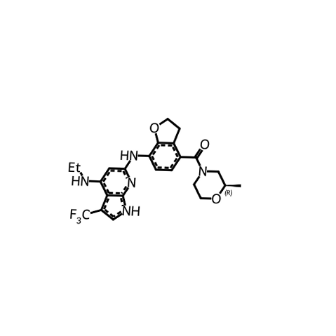 CCNc1cc(Nc2ccc(C(=O)N3CCO[C@H](C)C3)c3c2OCC3)nc2[nH]cc(C(F)(F)F)c12